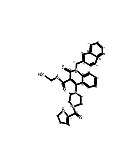 CCOC(=O)c1c(N2CCN(C(=O)C3=CCCO3)CC2)c2ccccc2n(Cc2ccc3ccccc3c2)c1=O